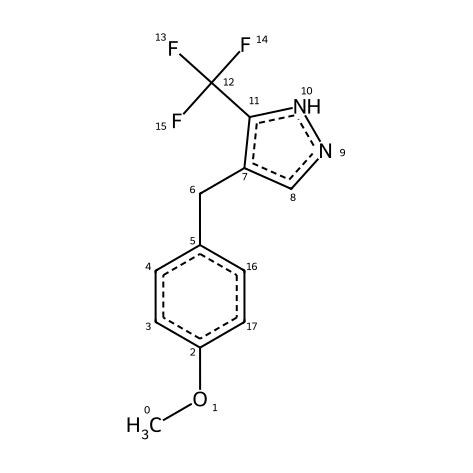 COc1ccc(Cc2cn[nH]c2C(F)(F)F)cc1